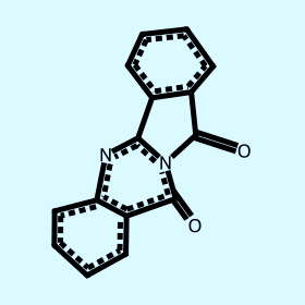 O=C1c2ccccc2-c2nc3ccccc3c(=O)n21